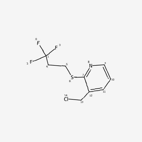 FC(F)(F)CCSc1ncccc1CCl